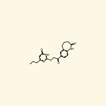 CCCc1cc(=O)[nH]c(SCC(=O)c2ccc3c(c2)CCCC(=O)N3)n1